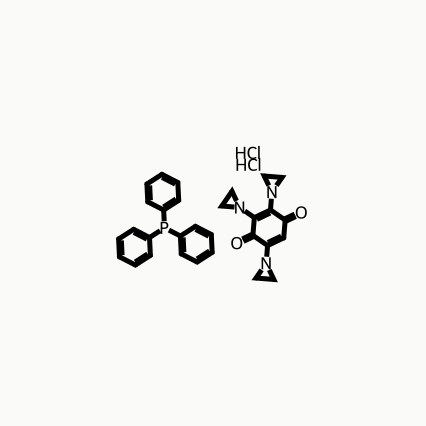 Cl.Cl.O=C1C=C(N2CC2)C(=O)C(N2CC2)=C1N1CC1.c1ccc(P(c2ccccc2)c2ccccc2)cc1